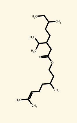 CCC(C)CCC(CC(=O)OCCC(C)CCC=C(C)C)C(C)C